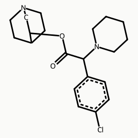 O=C(OC1CN2CCC1CC2)C(c1ccc(Cl)cc1)N1CCCCC1